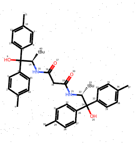 Cc1ccc(C(O)(c2ccc(C)cc2)[C@H](NC(=O)CC(=O)N[C@H](C(C)(C)C)C(O)(c2ccc(C)cc2)c2ccc(C)cc2)C(C)(C)C)cc1